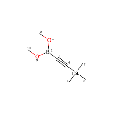 COB(C#C[Si](C)(C)C)OC